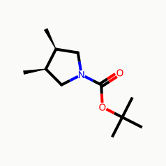 C[C@@H]1CN(C(=O)OC(C)(C)C)C[C@@H]1C